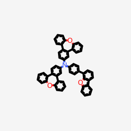 c1ccc2c(c1)Oc1ccccc1-c1cc(N(c3ccc(-c4cccc5c4oc4ccccc45)cc3)c3ccc4c(c3)-c3ccccc3Oc3ccccc3-4)ccc1-2